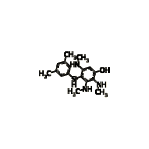 CNc1cc(O)c(NC)c(NC)c1[SiH]c1cc(C)cc(C)c1